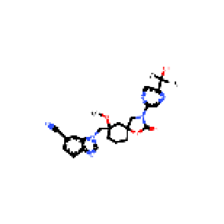 CO[C@@]1(Cn2cnc3ccc(C#N)cc32)CCC[C@]2(CN(c3cnc(C(C)(C)O)cn3)C(=O)O2)C1